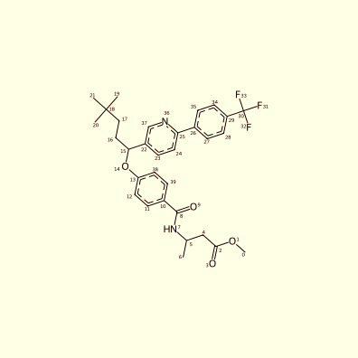 COC(=O)CC(C)NC(=O)c1ccc(OC(CCC(C)(C)C)c2ccc(-c3ccc(C(F)(F)F)cc3)nc2)cc1